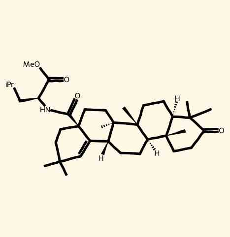 COC(=O)[C@H](CC(C)C)NC(=O)[C@]12CCC(C)(C)C=C1[C@H]1CC[C@@H]3[C@@]4(C)CCC(=O)C(C)(C)[C@@H]4CC[C@@]3(C)[C@]1(C)CC2